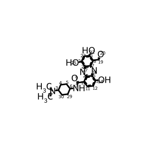 CN(C)C1CCC(NC(=O)c2ccc(O)c3nc4c(C=O)c(O)cc(O)c4nc23)CC1